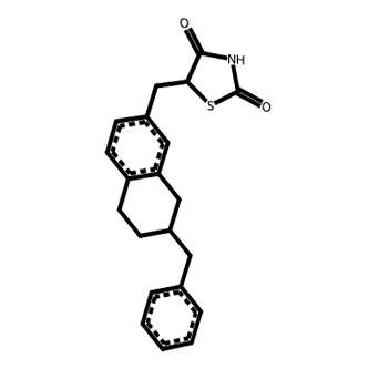 O=C1NC(=O)C(Cc2ccc3c(c2)CC(Cc2ccccc2)CC3)S1